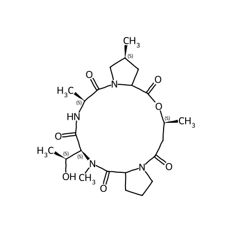 C[C@H]1CC2C(=O)O[C@@H](C)CC(=O)N3CCCC3C(=O)N(C)[C@@H]([C@H](C)O)C(=O)N[C@@H](C)C(=O)N2C1